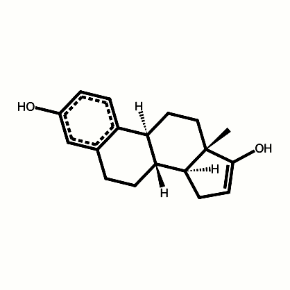 C[C@]12CC[C@@H]3c4ccc(O)cc4CC[C@H]3[C@@H]1CC=C2O